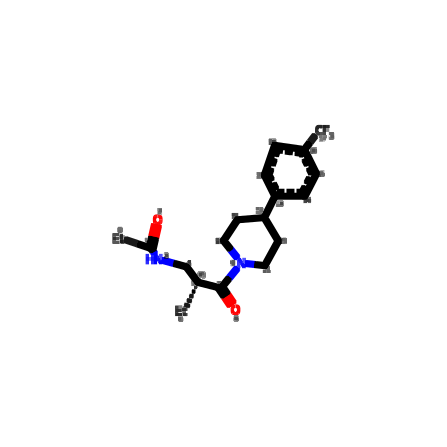 CCC(=O)NC[C@@H](CC)C(=O)N1CCC(c2ccc(C(F)(F)F)cc2)CC1